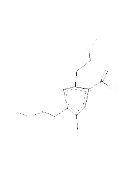 COCCc1cc(CCOC)c(C(=O)O)cc1Cl